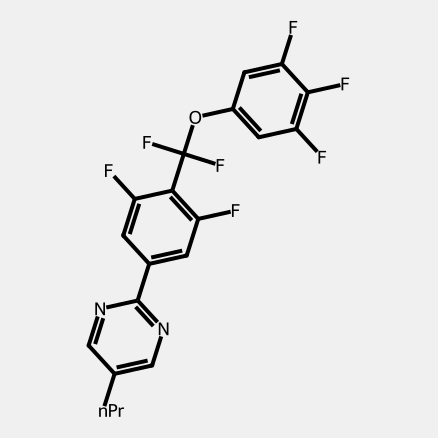 CCCc1cnc(-c2cc(F)c(C(F)(F)Oc3cc(F)c(F)c(F)c3)c(F)c2)nc1